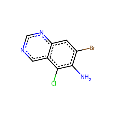 Nc1c(Br)cc2ncncc2c1Cl